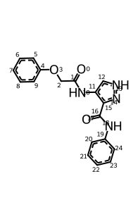 O=C(COc1ccccc1)Nc1c[nH]nc1C(=O)Nc1ccccc1